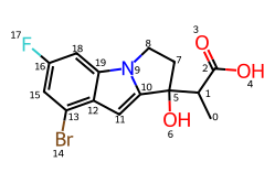 CC(C(=O)O)C1(O)CCn2c1cc1c(Br)cc(F)cc12